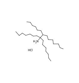 CCCCCCCC(CCCCCC)C(N)(CCCCCCC)CCCCCCC.Cl